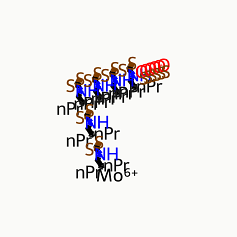 CCCC(CCC)CNC(=S)[S-].CCCC(CCC)CNC(=S)[S-].CCCC(CCC)CNC(=S)[S-].CCCC(CCC)CNC(=S)[S-].CCCC(CCC)CNC(=S)[S-].CCCC(CCC)CNC(=S)[S-].O=S.O=S.O=S.O=S.O=S.O=S.[Mo+6]